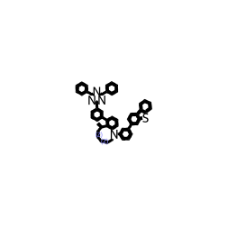 C=C1/C=C\C=C/CN(c2cccc(-c3ccc4c(c3)sc3ccccc34)c2)c2cccc(-c3cccc(-c4nc(-c5ccccc5)nc(-c5ccccc5)n4)c3)c21